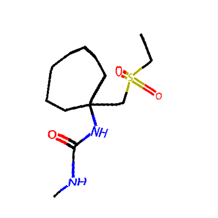 CCS(=O)(=O)CC1(NC(=O)NC)CCCCC1